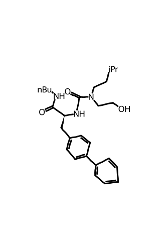 CCCCNC(=O)[C@H](Cc1ccc(-c2ccccc2)cc1)NC(=O)N(CCO)CCC(C)C